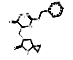 NC(=O)[C@H](C[C@@H]1CC2(CC2)NC1=O)NC(=O)OCc1ccccc1